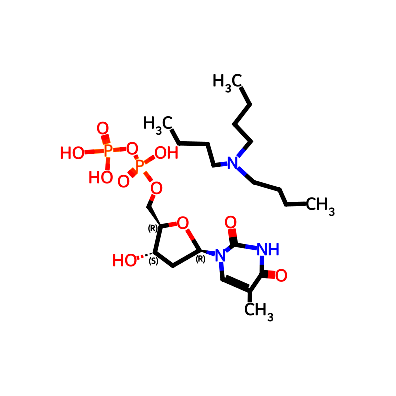 CCCCN(CCCC)CCCC.Cc1cn([C@H]2C[C@H](O)[C@@H](COP(=O)(O)OP(=O)(O)O)O2)c(=O)[nH]c1=O